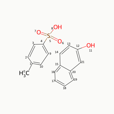 Cc1ccc(S(=O)(=O)O)cc1.Oc1ccc2ccccc2c1